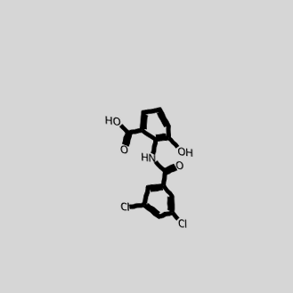 O=C(Nc1c(O)cccc1C(=O)O)c1cc(Cl)cc(Cl)c1